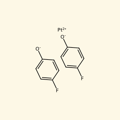 [O-]c1ccc(F)cc1.[O-]c1ccc(F)cc1.[Pt+2]